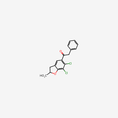 O=C(Cc1ccccc1)c1cc2c(c(Cl)c1Cl)OC(C(=O)O)C2